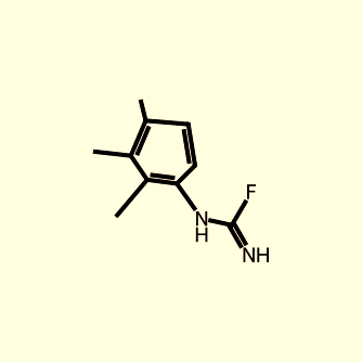 Cc1ccc(NC(=N)F)c(C)c1C